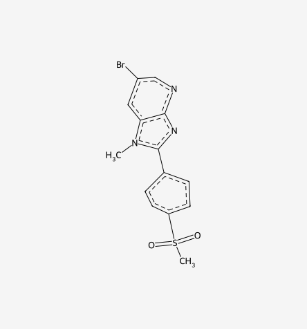 Cn1c(-c2ccc(S(C)(=O)=O)cc2)nc2ncc(Br)cc21